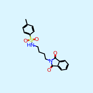 Cc1ccc(S(=O)(=O)NCCCCN2C(=O)c3ccccc3C2=O)cc1